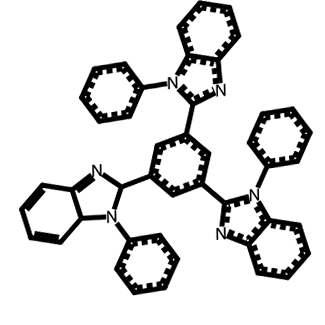 C1=CC2=NC(c3cc(-c4nc5ccccc5n4-c4ccccc4)cc(-c4nc5ccccc5n4-c4ccccc4)c3)N(c3ccccc3)C2C=C1